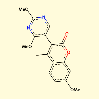 COc1ccc2c(C)c(-c3cnc(OC)nc3OC)c(=O)oc2c1